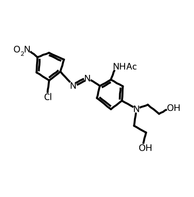 CC(=O)Nc1cc(N(CCO)CCO)ccc1N=Nc1ccc([N+](=O)[O-])cc1Cl